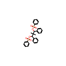 CC(C)(C(OS(=O)(=O)c1ccccc1)c1ccccc1)C(OS(=O)(=O)c1ccccc1)c1ccccc1